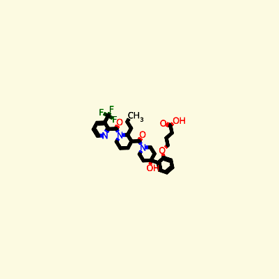 CCCC1C(C(=O)N2CCC(O)(c3ccccc3OCCCC(=O)O)CC2)CCCN1C(=O)c1ncccc1C(F)(F)F